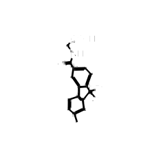 Cc1ccc2c(c1)C(F)(F)c1ccc(C(=O)NCC(=O)O)cc1-2